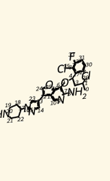 CC(C)CC(Oc1c(N)ncc2c(-c3cnn(C4CCNCC4)c3)coc12)c1c(Cl)ccc(F)c1Cl